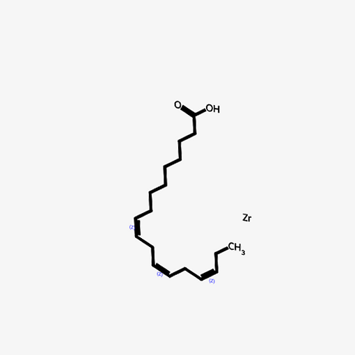 CC/C=C\C/C=C\C/C=C\CCCCCCCC(=O)O.[Zr]